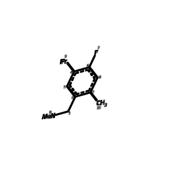 CNCc1cc(C(C)C)c(F)cc1C